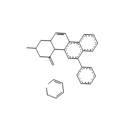 C1=CCOC=C1.C=C1CC(C)CC2C=Cc3c(cc(-c4ccccc4)c4ccccc34)C12